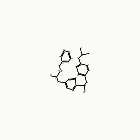 CC(C)Cc1ccc(CC(C)c2ccc(CC(C)NCc3ccccc3)cc2)cc1